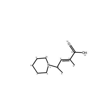 C/C(=C\C(C)N1CCCCC1)C(=O)O